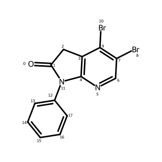 O=C1Cc2c(ncc(Br)c2Br)N1c1ccccc1